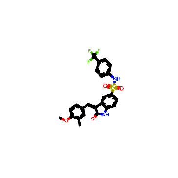 COc1ccc(C=C2C(=O)Nc3ccc(S(=O)(=O)Nc4ccc(C(F)(F)F)cc4)cc32)cc1C